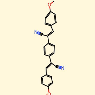 COc1ccc(C=C(C#N)c2ccc(C(C#N)=Cc3ccc(OC)cc3)cc2)cc1